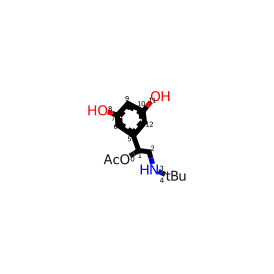 CC(=O)OC(CNC(C)(C)C)c1cc(O)cc(O)c1